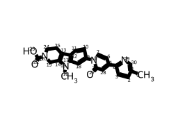 Cc1ccc(-c2ccn(-c3ccc4c5c(n(C)c4c3)CN(C(=O)O)CC5)c(=O)c2)nc1